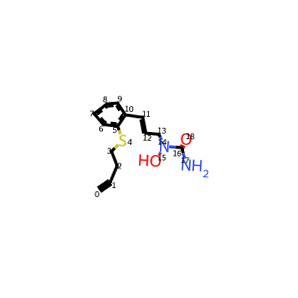 C#CCCSc1ccccc1/C=C/CN(O)C(N)=O